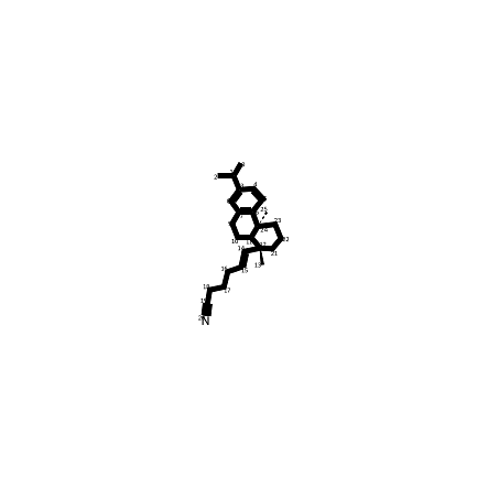 CC(C)c1ccc2c(c1)CCC1[C@@](C)(C=CCCCC#N)CCC[C@]21C